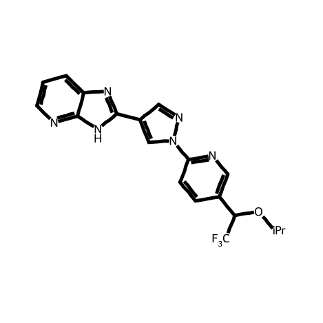 CC(C)OC(c1ccc(-n2cc(-c3nc4cccnc4[nH]3)cn2)nc1)C(F)(F)F